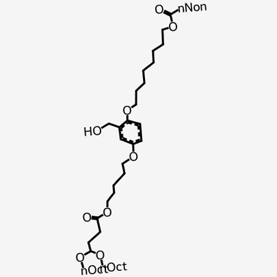 CCCCCCCCCC(=O)OCCCCCCCCOc1ccc(OCCCCCOC(=O)CCC(OCCCCCCCC)OCCCCCCCC)cc1CO